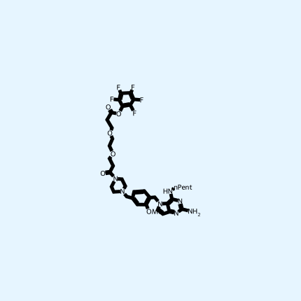 CCCCCNc1nc(N)nc2ccn(Cc3ccc(CN4CCN(C(=O)CCOCCOCCC(=O)Oc5c(F)c(F)c(F)c(F)c5F)CC4)cc3OC)c12